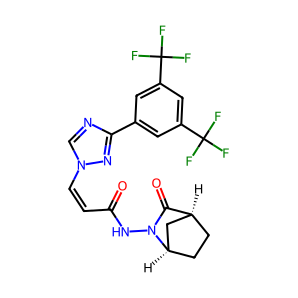 O=C(/C=C\n1cnc(-c2cc(C(F)(F)F)cc(C(F)(F)F)c2)n1)NN1C(=O)[C@H]2CC[C@@H]1C2